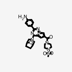 CS(=O)(=O)N1CCN(C(=O)c2cc3c(N4CC5CCC(C4)O5)nc(-c4ccc(N)cc4)nn3c2)CC1